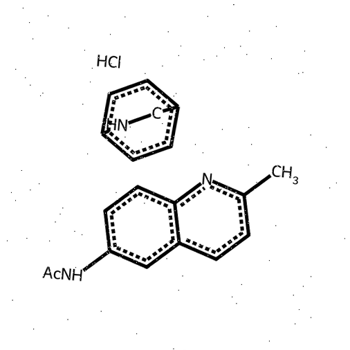 CC(=O)Nc1ccc2nc(C)ccc2c1.Cl.c1cc2ccc1CN2